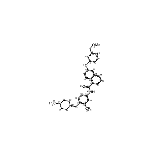 COCc1nccc(Oc2ccc3c(C(=O)Nc4ccc(CN5CCN(C)CC5)c(C(F)(F)F)c4)cccc3c2)n1